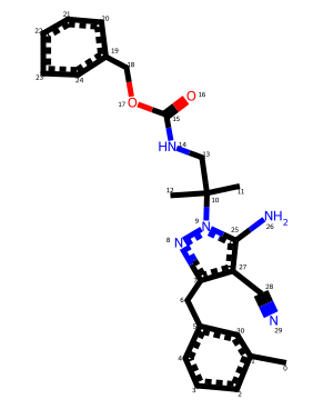 Cc1cccc(Cc2nn(C(C)(C)CNC(=O)OCc3ccccc3)c(N)c2C#N)c1